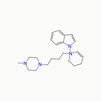 CN1CCN(CCCC[N+]2(n3ccc4ccccc43)C=CCCC2)CC1